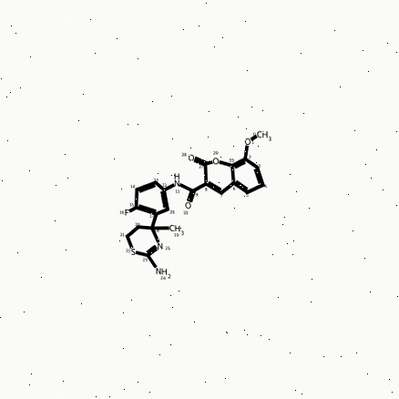 COc1cccc2cc(C(=O)Nc3ccc(F)c(C4(C)CCSC(N)=N4)c3)c(=O)oc12